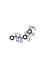 Cc1cnc(Oc2c(Cl)cc(NC(=S)NC(=O)c3ccccc3)cc2Cl)c(Cl)c1